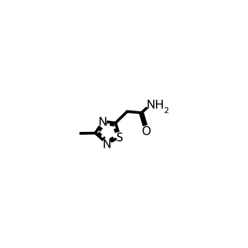 Cc1nsc(CC(N)=O)n1